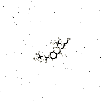 C[C@@H](C1CCN(C(=O)OC(C)(C)C)CC1)N(CCCO)[S@@+]([O-])C(C)(C)C